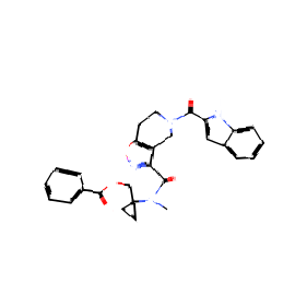 CN(C(=O)c1noc2c1CN(C(=O)c1cc3ccccc3[nH]1)CC2)C1(COC(=O)c2ccccc2)CC1